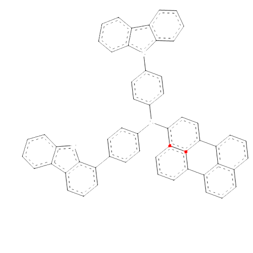 c1ccc(-c2cccc3cccc(-c4ccc(N(c5ccc(-c6cccc7c6oc6ccccc67)cc5)c5ccc(-n6c7ccccc7c7ccccc76)cc5)cc4)c23)cc1